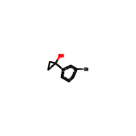 CCc1cccc(C2(O)CC2)c1